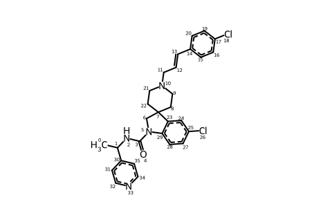 CC(NC(=O)N1CC2(CCN(C/C=C/c3ccc(Cl)cc3)CC2)c2cc(Cl)ccc21)c1ccncc1